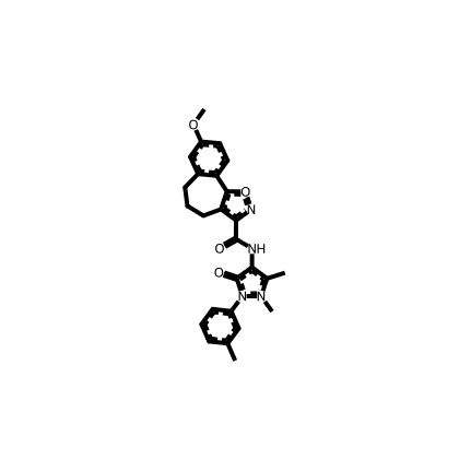 COc1ccc2c(c1)CCCc1c(C(=O)Nc3c(C)n(C)n(-c4cccc(C)c4)c3=O)noc1-2